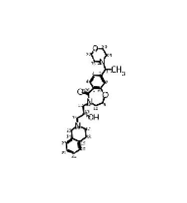 CC(c1ccc2c(c1)OCCN(C[C@H](O)CN1CCc3ccccc3C1)C2=O)N1CCOCC1